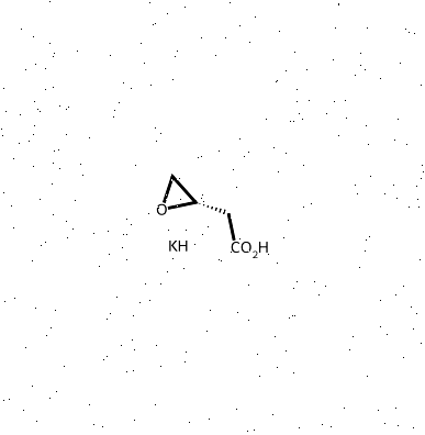 O=C(O)C[C@H]1CO1.[KH]